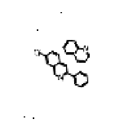 Clc1ccc2cc(-c3ccccc3)ncc2c1.c1ccc2ncccc2c1